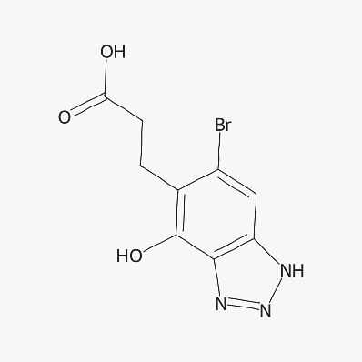 O=C(O)CCc1c(Br)cc2[nH]nnc2c1O